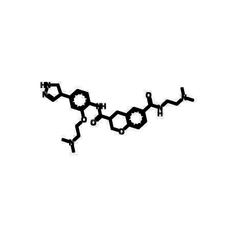 CN(C)CCNC(=O)c1ccc2c(c1)CC(C(=O)Nc1ccc(C3C=NNC3)cc1OCCN(C)C)CO2